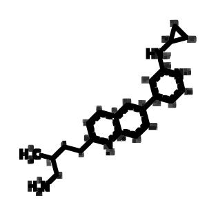 CC(CN)CCc1ccc2cc(-c3ccnc(NC4CC4)c3)ccc2n1